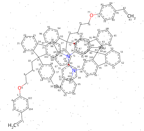 C=Cc1ccc(OCCCCC2(c3ccc(C(C)(C)C)cc3)c3ccccc3-c3ccc(N(c4ccccc4)c4ccc5c(c4)C4(c6ccccc6-5)c5ccccc5-c5ccc(N(c6ccccc6)c6ccc7c(c6)C(CCCCOc6ccc(C=C)cc6)(c6ccc(C(C)(C)C)cc6)c6ccccc6-7)cc54)cc32)cc1